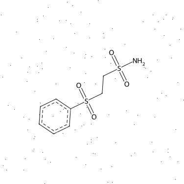 NS(=O)(=O)CCS(=O)(=O)c1ccccc1